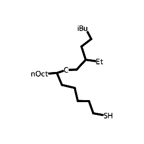 CCCCCCCCC(CCCCCS)CCC(CC)CCC(C)CC